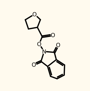 O=C(ON1C(=O)c2ccccc2C1=O)C1CCOC1